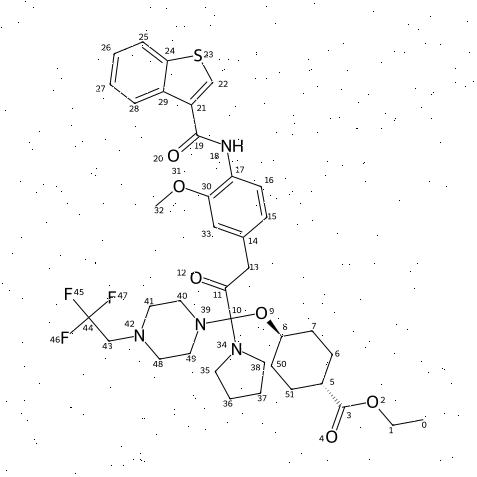 CCOC(=O)[C@H]1CC[C@H](OC(C(=O)Cc2ccc(NC(=O)c3csc4ccccc34)c(OC)c2)(N2CCCC2)N2CCN(CC(F)(F)F)CC2)CC1